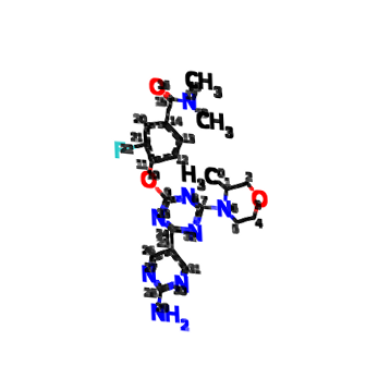 CC1COCCN1c1nc(Oc2ccc(C(=O)N(C)C)cc2F)nc(-c2cnc(N)nc2)n1